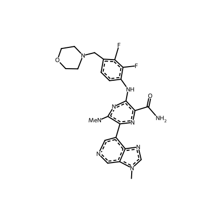 CNc1nc(Nc2ccc(CN3CCOCC3)c(F)c2F)c(C(N)=O)nc1-c1cncc2c1ncn2C